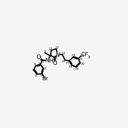 CC1(NC(=O)c2cccc(Br)c2)CCN(CCc2cccc(C(F)(F)F)c2)C1=O